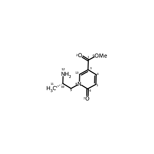 COC(=O)c1ccc(=O)n(C[C@H](C)N)c1